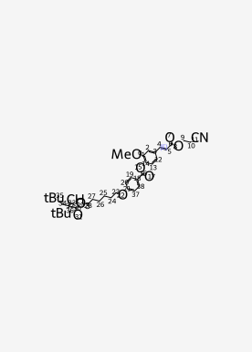 COc1cc(/C=C/C(=O)OCCC#N)ccc1OC(=O)c1ccc(OCCCCCCOC(=O)C(C)(CC(C)(C)C)C(C)(C)C)cc1